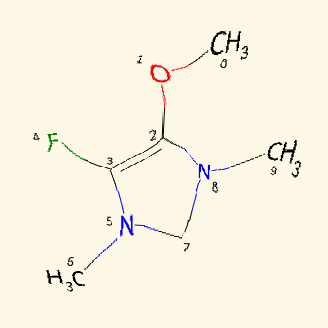 COC1=C(F)N(C)CN1C